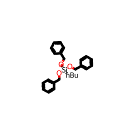 CCCC[Si](OCc1ccccc1)(OCc1ccccc1)OCc1ccccc1